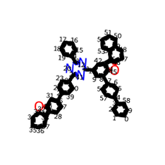 c1ccc(-c2ccc(-c3cc(-c4nc(-c5ccccc5)nc(-c5ccc(-c6ccc7c(c6)oc6ccccc67)cc5)n4)cc4c3oc3ccc5ccccc5c34)cc2)cc1